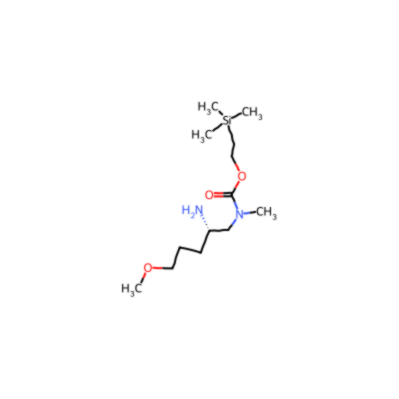 COCCC[C@H](N)CN(C)C(=O)OCC[Si](C)(C)C